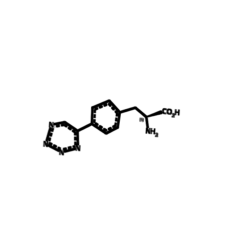 N[C@@H](Cc1ccc(-c2cnnnn2)cc1)C(=O)O